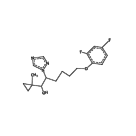 CC1(C(O)C(CCCCOc2ccc(F)cc2F)n2cncn2)CC1